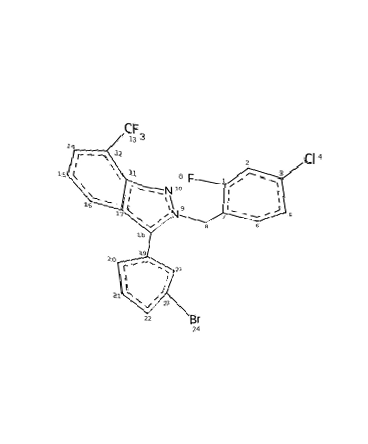 Fc1cc(Cl)ccc1Cn1nc2c(C(F)(F)F)cccc2c1-c1cccc(Br)c1